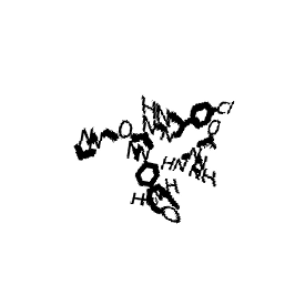 C[C@@H](CN(C=N)N=N)Oc1cc(-c2cnc(Nc3cn(C4CCC(N5[C@@H]6CC[C@H]5COC6)CC4)nc3OCCn3cccn3)nc2)ccc1Cl